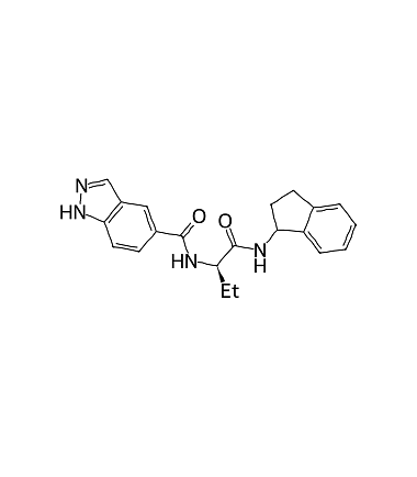 CC[C@@H](NC(=O)c1ccc2[nH]ncc2c1)C(=O)NC1CCc2ccccc21